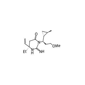 C=C[C@@]1(CC)CC(=O)N([C@H](CCOC)[C@@H]2C[C@H]2C)C(=N)N1